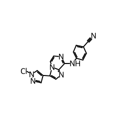 N#Cc1ccc(Nc2nccn3c(-c4cnn(Cl)c4)cnc23)cc1